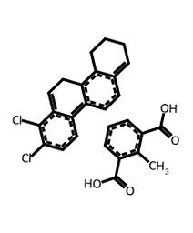 Cc1c(C(=O)O)cccc1C(=O)O.Clc1ccc2c(c1Cl)=CCc1c3c(ccc1=2)=CCCC3